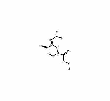 CCOC(=O)N1CCC(=O)/C(=C/N(C)C)C1